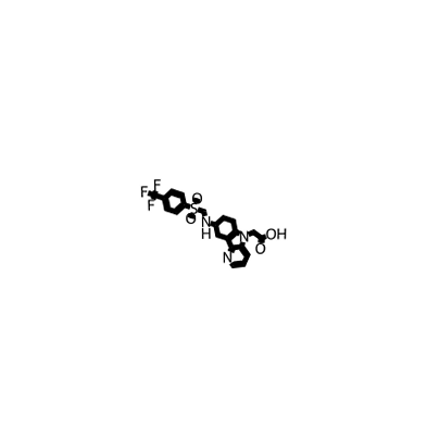 O=C(O)Cn1c2c(c3ncccc31)CC(NCS(=O)(=O)c1ccc(C(F)(F)F)cc1)CC2